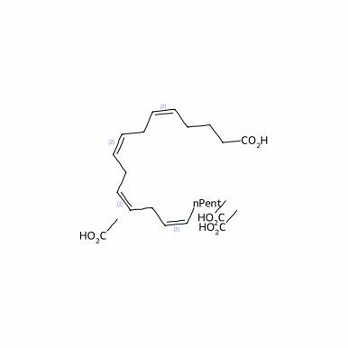 CC(=O)O.CC(=O)O.CC(=O)O.CCCCC/C=C\C/C=C\C/C=C\C/C=C\CCCC(=O)O